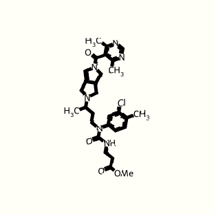 COC(=O)CCNC(=O)N(CCC(C)N1CC2=CN(C(=O)c3c(C)ncnc3C)CC2C1)c1ccc(C)c(Cl)c1